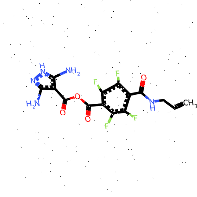 C=CCNC(=O)c1c(F)c(F)c(C(=O)OC(=O)c2c(N)n[nH]c2N)c(F)c1F